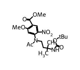 COC(=O)c1cc([N+](=O)[O-])c(N(CCC(C)(C)NC(=O)OC(C)(C)C)C(C)=O)cc1OC